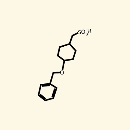 O=S(=O)(O)CC1CCC(OCc2ccccc2)CC1